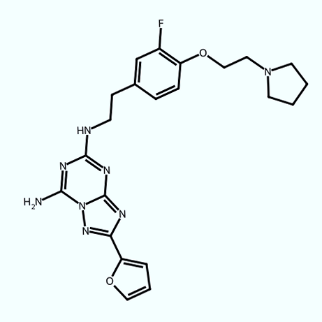 Nc1nc(NCCc2ccc(OCCN3CCCC3)c(F)c2)nc2nc(-c3ccco3)nn12